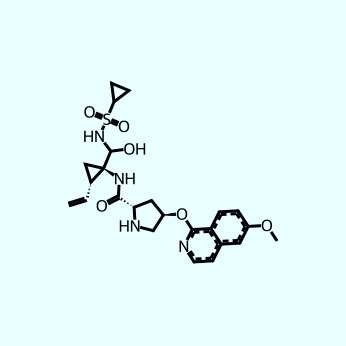 C=C[C@@H]1C[C@]1(NC(=O)[C@@H]1C[C@@H](Oc2nccc3cc(OC)ccc23)CN1)C(O)NS(=O)(=O)C1CC1